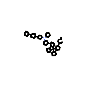 C=C/C=C\C(=C/C)c1ccc2c(c1)C1(c3ccccc3-2)c2ccccc2-c2c(-c3cccc(N(c4ccccc4)c4ccc(-c5ccc(-c6ccccc6)cc5)cc4)c3)cccc21